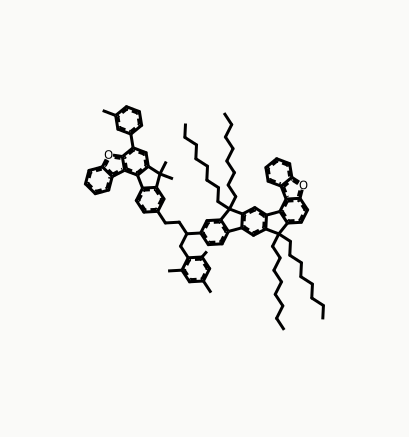 CCCCCCCCC1(CCCCCCCC)c2cc(C(CCc3ccc4c(c3)C(C)(C)c3cc(-c5cccc(C)c5)c5oc6ccccc6c5c3-4)Cc3c(C)cc(C)cc3C)ccc2-c2cc3c(cc21)-c1c(ccc2oc4ccccc4c12)C3(CCCCCCCC)CCCCCCCC